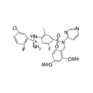 COc1ccc(CN(c2ccncn2)S(=O)(=O)c2cc(C)c(N[C@@H](N)c3cc(Cl)ccc3F)cc2F)c(OC)c1